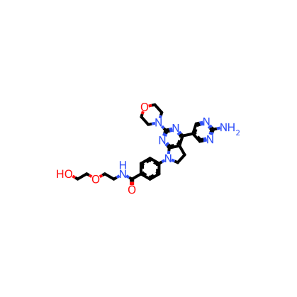 Nc1ncc(-c2nc(N3CCOCC3)nc3c2CCN3c2ccc(C(=O)NCCOCCO)cc2)cn1